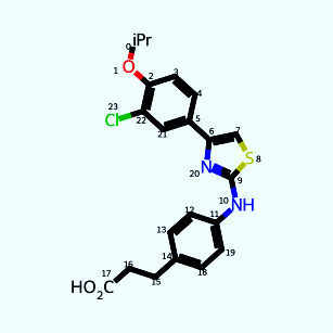 CC(C)Oc1ccc(-c2csc(Nc3ccc(CCC(=O)O)cc3)n2)cc1Cl